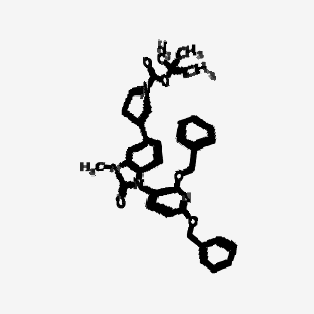 Cn1c(=O)n(-c2ccc(OCc3ccccc3)nc2OCc2ccccc2)c2ccc(C3CCN(C(=O)OC(C)(C)C)C3)cc21